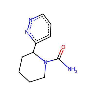 NC(=O)N1CCCCC1c1cccnn1